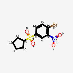 O=[N+]([O-])c1cc(S(=O)(=O)C2CCCC2)ccc1Br